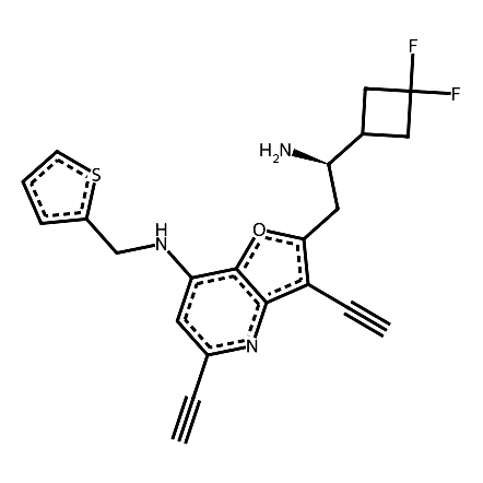 C#Cc1cc(NCc2cccs2)c2oc(C[C@@H](N)C3CC(F)(F)C3)c(C#C)c2n1